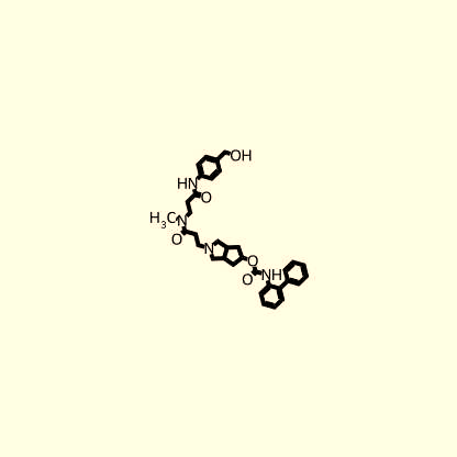 CN(CCC(=O)Nc1ccc(CO)cc1)C(=O)CCN1CC2CC(OC(=O)Nc3ccccc3-c3ccccc3)CC2C1